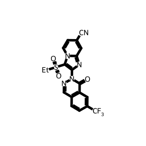 CCS(=O)(=O)c1c(-n2ncc3ccc(C(F)(F)F)cc3c2=O)nc2cc(C#N)ccn12